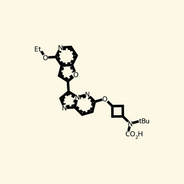 CCOc1nccc2oc(-c3cnc4ccc(OC5CC(N(C(=O)O)C(C)(C)C)C5)nn34)cc12